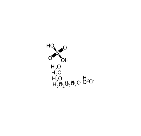 O.O.O.O.O.O.O.O.O=S(=O)(O)O.[Cr]